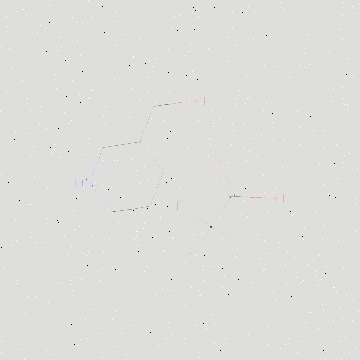 O=C(O)C(F)(F)F.OCC1CCCNC1